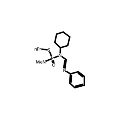 CCCSP(=O)(NC)N(C=Nc1ccccc1)C1CCCCC1